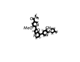 COc1cc(C(=O)N(C)C)cnc1-c1cc2nccc(-c3cnc(N4CCC(F)C4)c(C#N)c3)c2o1